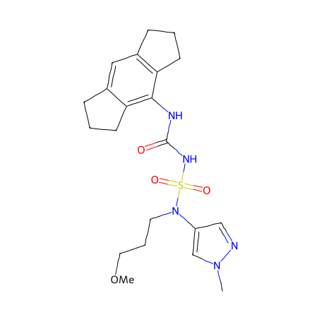 COCCCN(c1cnn(C)c1)S(=O)(=O)NC(=O)Nc1c2c(cc3c1CCC3)CCC2